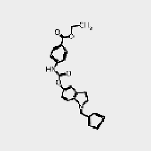 CCOC(=O)c1ccc(NC(=O)Oc2ccc3c(c2)CCN3Cc2ccccc2)cc1